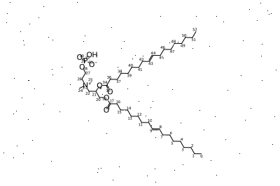 CCCCCCCCC=CCCCCCCCC(=O)OCC(C[N+](C)(C)CCOP(=O)([O-])O)OC(=O)CCCCCCCC=CCCCCCCCC